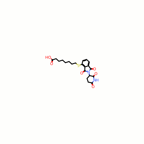 O=C(O)CCCCCCCSc1cccc2c1C(=O)N(C1CCC(=O)NC1=O)C2=O